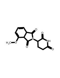 COC1=CC=CC2C(=O)N(C3CCC(=O)NC3=O)C(=O)C12